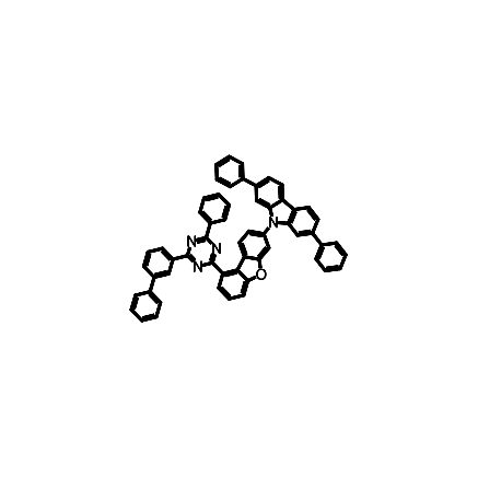 c1ccc(-c2cccc(-c3nc(-c4ccccc4)nc(-c4cccc5oc6cc(-n7c8cc(-c9ccccc9)ccc8c8ccc(-c9ccccc9)cc87)ccc6c45)n3)c2)cc1